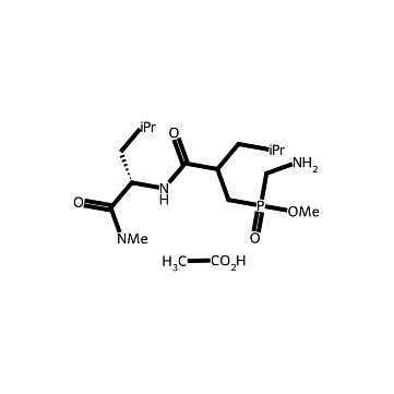 CC(=O)O.CNC(=O)[C@H](CC(C)C)NC(=O)C(CC(C)C)CP(=O)(CN)OC